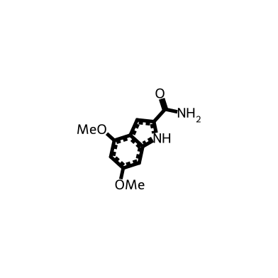 COc1cc(OC)c2cc(C(N)=O)[nH]c2c1